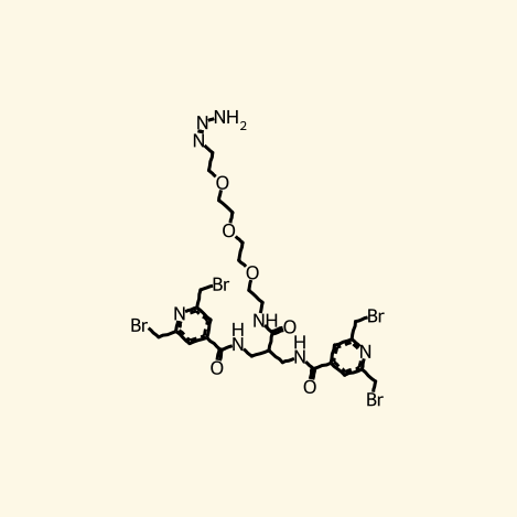 N/N=N\CCOCCOCCOCCNC(=O)C(CNC(=O)c1cc(CBr)nc(CBr)c1)CNC(=O)c1cc(CBr)nc(CBr)c1